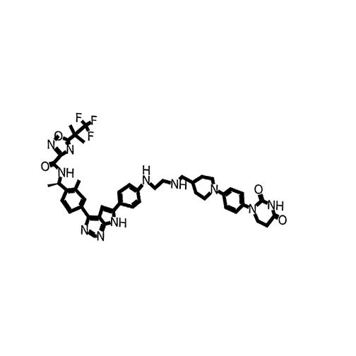 Cc1cc(-c2ncnc3[nH]c(-c4ccc(NCCNCC5CCN(c6ccc(N7CCC(=O)NC7=O)cc6)CC5)cc4)cc23)ccc1[C@@H](C)NC(=O)c1noc(C(C)(C)C(F)(F)F)n1